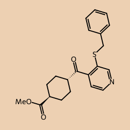 COC(=O)[C@H]1CC[C@H](C(=O)c2ccncc2SCc2ccccc2)CC1